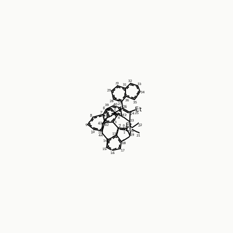 CCC1=C(c2cccc3ccccc23)c2c3cccc2[CH]1[Zr]([CH3])([CH3])[CH]1C(CC)=C(c2cccc4ccccc24)c2c(cccc21)CC3